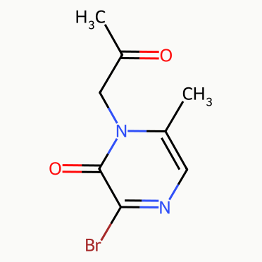 CC(=O)Cn1c(C)cnc(Br)c1=O